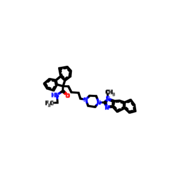 Cn1c(N2CCN(CCCCC3(C(=O)NCC(F)(F)F)c4ccccc4-c4ccccc43)CC2)nc2cc3ccccc3cc21